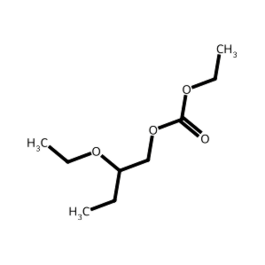 CCOC(=O)OCC(CC)OCC